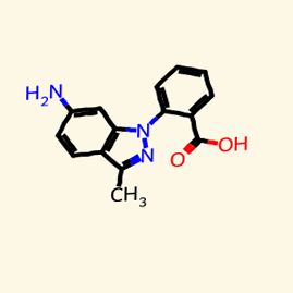 Cc1nn(-c2ccccc2C(=O)O)c2cc(N)ccc12